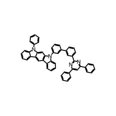 c1ccc(-c2cc(-c3ccccc3)nc(-c3cccc(-c4cccc(-n5c6ccccc6c6cc7c8ccccc8n(-c8ccccc8)c7cc65)c4)c3)n2)cc1